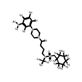 [2H]c1c([2H])c(N2CCN(C([2H])CCCN(C([2H])([2H])[2H])S(=O)(=O)CC3([2H])C([2H])([2H])C([2H])([2H])C([2H])([2H])C([2H])([2H])C3([2H])[2H])CC2)c([2H])c(N([2H])C(C)=O)c1[2H]